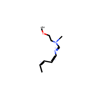 C\C=C/C=C\N=C\N(C)CCOC(C)(C)C